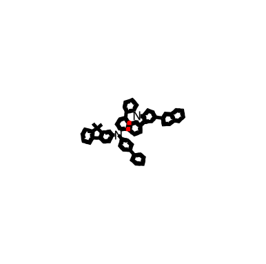 CC1(C)c2ccccc2-c2ccc(N(c3ccc(-c4ccccc4)cc3)c3ccc(-c4ccccc4-n4c5ccccc5c5cc(-c6ccc7ccccc7c6)ccc54)cc3)cc21